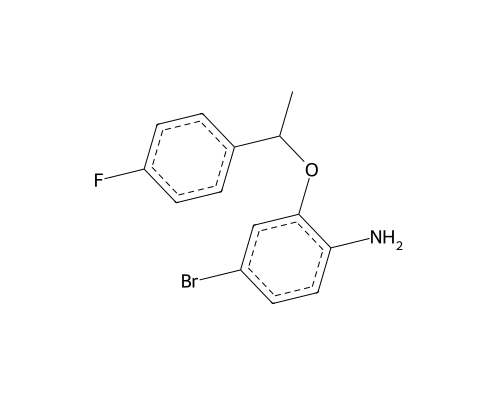 CC(Oc1cc(Br)ccc1N)c1ccc(F)cc1